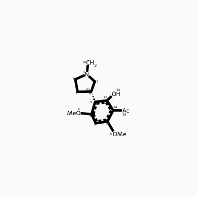 COc1cc(OC)c([C@@H]2CCN(C)C2)c(O)c1C(C)=O